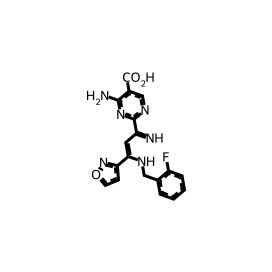 N=C(/C=C(\NCc1ccccc1F)c1ccon1)c1ncc(C(=O)O)c(N)n1